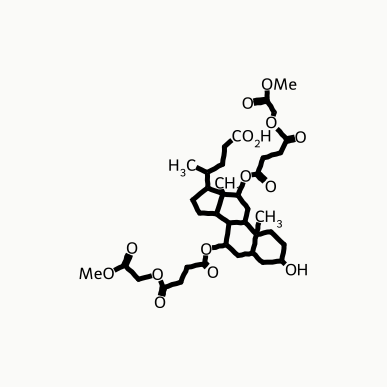 COC(=O)COC(=O)CCC(=O)OC1CC2CC(O)CCC2(C)C2CC(OC(=O)CCC(=O)OCC(=O)OC)C3(C)C(C(C)CCC(=O)O)CCC3C12